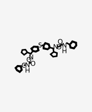 O=C(NCc1ccccc1)O/N=C(/c1ccc(Sc2ccc(/C(=N/OC(=O)NCc3ccccc3)C3CCCC3)cc2)cc1)C1CCCC1